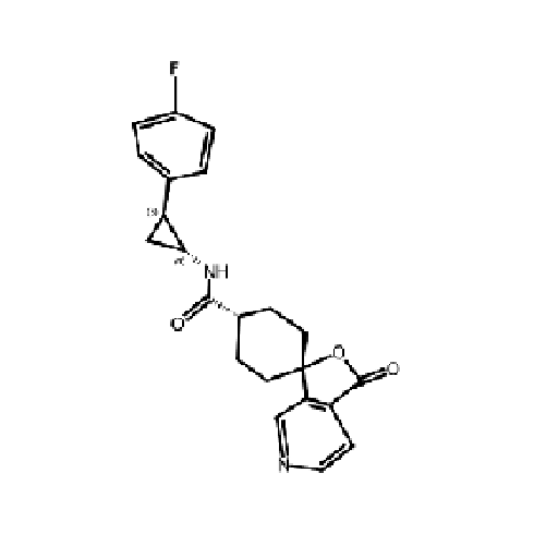 O=C1O[C@]2(CC[C@@H](C(=O)N[C@@H]3C[C@H]3c3ccc(F)cc3)CC2)c2cnccc21